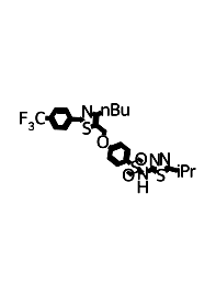 CCCCc1nc(-c2ccc(C(F)(F)F)cc2)sc1COc1ccc(S(=O)(=O)Nc2nnc(C(C)C)s2)cc1